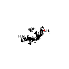 CON=C1CN(c2nc3c(cc2F)c(=O)c(C(=O)OC(=O)c2cn(C4CC4)c4nc(N5CC(=NOC)C(CN)C5)c(F)cc4c2=O)cn3C2CC2)CC1CN.CS(=O)(=O)O